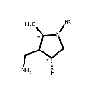 C[C@@H]1C(CN)[C@@H](F)CN1C(C)(C)C